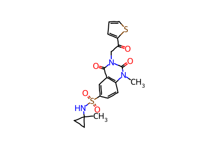 Cn1c(=O)n(CC(=O)c2cccs2)c(=O)c2cc(S(=O)(=O)NC3(C)CC3)ccc21